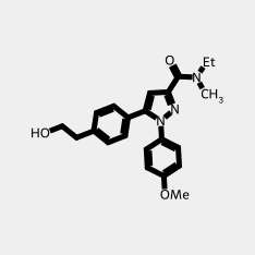 CCN(C)C(=O)c1cc(-c2ccc(CCO)cc2)n(-c2ccc(OC)cc2)n1